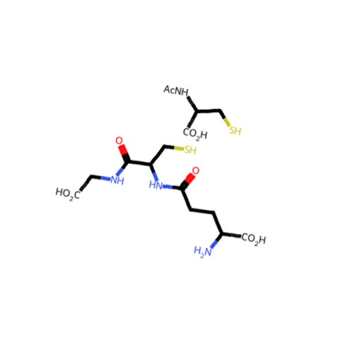 CC(=O)NC(CS)C(=O)O.NC(CCC(=O)NC(CS)C(=O)NCC(=O)O)C(=O)O